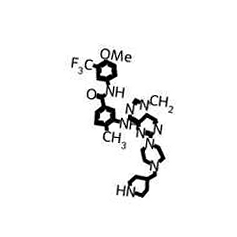 C=N/C=N\C(Nc1cc(C(=O)Nc2ccc(OC)c(C(F)(F)F)c2)ccc1C)=C1/CC=NC(N2CCN(CC3CCNCC3)CC2)=N1